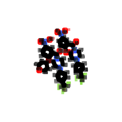 O=C(c1cc([N+](=O)[O-])ccc1O)N1CCN(c2ccc(C(F)(F)F)cc2)CC1.O=C(c1cc([N+](=O)[O-])ccc1OC1CCOCC1)N1CCN(c2ccc(C(F)(F)F)cc2)CC1